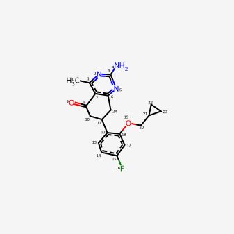 Cc1nc(N)nc2c1C(=O)CC(c1ccc(F)cc1OCC1CC1)C2